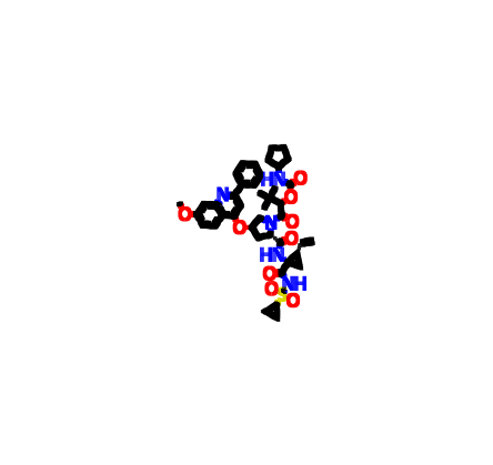 C=C[C@@H]1C[C@]1(NC(=O)[C@@H]1C[C@@H](Oc2cc(-c3ccccc3)nc3cc(OC)ccc23)CN1C(=O)C(OC(=O)NC1CCCC1)C(C)(C)C)C(=O)NS(=O)(=O)C1CC1